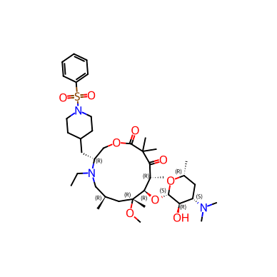 CCN1C[C@H](C)C[C@@](C)(OC)[C@H](O[C@@H]2O[C@H](C)C[C@H](N(C)C)[C@H]2O)[C@@H](C)C(=O)C(C)(C)C(=O)OC[C@H]1CC1CCN(S(=O)(=O)c2ccccc2)CC1